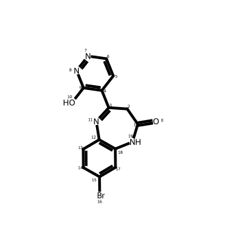 O=C1CC(c2ccnnc2O)=Nc2ccc(Br)cc2N1